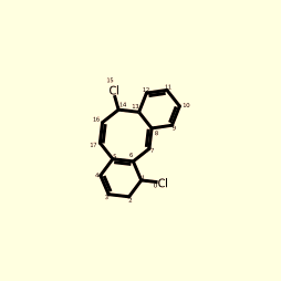 ClC1CC=CC2=C1/C=C1/C=CC=CC1C(Cl)/C=C\2